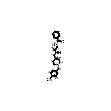 O=C(CNC(=O)c1ccccc1)NCC1CCN(Cc2ccc(Cl)cc2)CC1